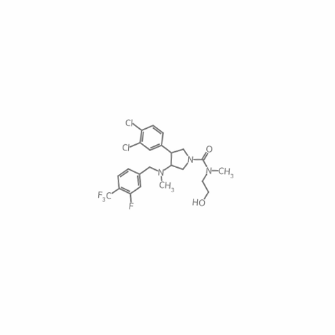 CN(CCO)C(=O)N1CC(c2ccc(Cl)c(Cl)c2)C(N(C)Cc2ccc(C(F)(F)F)c(F)c2)C1